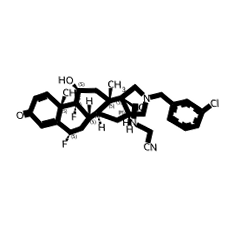 C[C@]12C=CC(=O)C=C1[C@@H](F)C[C@H]1[C@@H]3C[C@H]4CN(Cc5cccc(Cl)c5)C[C@@]4(C(=O)NCC#N)[C@@]3(C)C[C@H](O)[C@@]12F